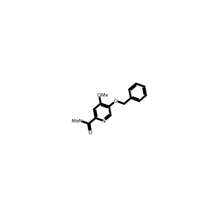 CNC(=O)c1cc(OC)c(OCc2ccccc2)cn1